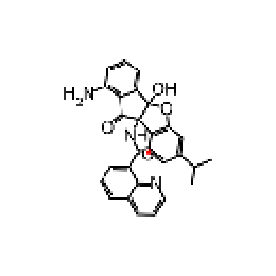 CC(C)c1ccc2c(c1)OC1(O)c3cccc(N)c3C(=O)C21NC(=O)c1cccc2cccnc12